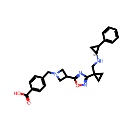 O=C(O)c1ccc(CN2CC(c3nc(C4(CN[C@H]5CC5c5ccccc5)CC4)no3)C2)cc1